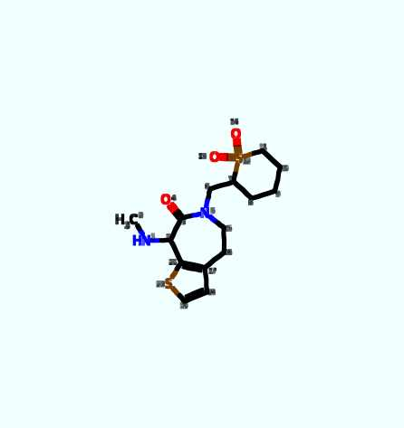 CNC1C(=O)N(CC2CCCCS2(=O)=O)CCc2ccsc21